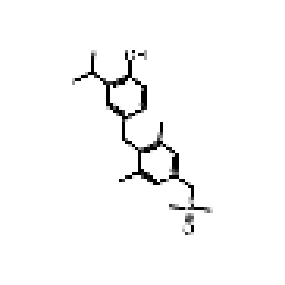 Cc1cc(CP(C)(C)=O)cc(C)c1Cc1ccc(O)c(C(C)C)c1